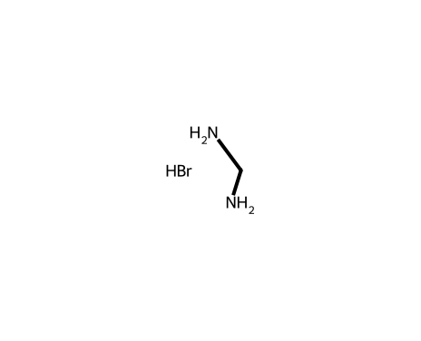 Br.NCN